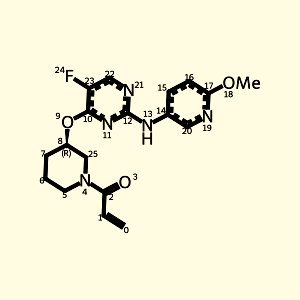 C=CC(=O)N1CCC[C@@H](Oc2nc(Nc3ccc(OC)nc3)ncc2F)C1